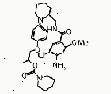 COc1cc(N)c(Cl)cc1C(=O)NCC1CCCCN1c1ccc(OCC(C)OC(=O)N2CCCCC2)cc1